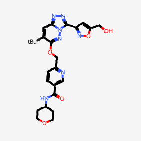 CC(C)(C)c1cc2nnc(-c3cc(CO)on3)n2nc1OCc1ccc(C(=O)NC2CCOCC2)cn1